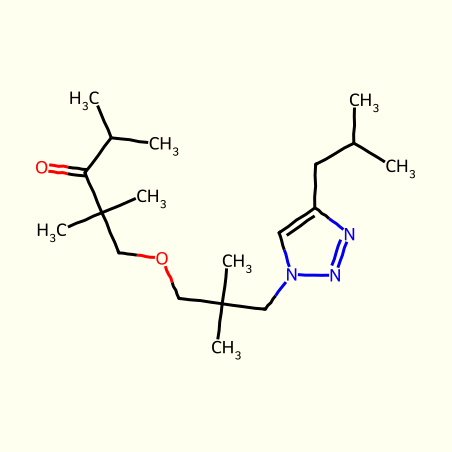 CC(C)Cc1cn(CC(C)(C)COCC(C)(C)C(=O)C(C)C)nn1